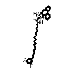 C[C@H](NCCCCCCCCCCCCCCCCc1cc(F)cc(F)c1)C(=O)NC1c2ccccc2-c2ccccc2CC1O